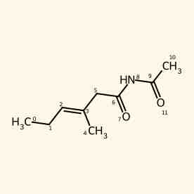 CC/C=C(\C)CC(=O)NC(C)=O